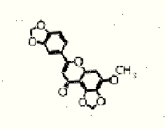 COc1cc2oc(-c3ccc4c(c3)OCO4)cc(=O)c2c2c1OCO2